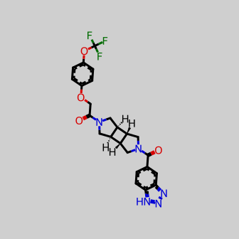 O=C(COc1ccc(OC(F)(F)F)cc1)N1C[C@@H]2[C@H](C1)[C@H]1CN(C(=O)c3ccc4[nH]nnc4c3)C[C@@H]21